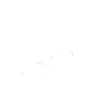 COc1ccc(Cl)cc1Nc1nc(-c2sc(CC(=O)C(C)(C)C)nc2C)c(C)s1